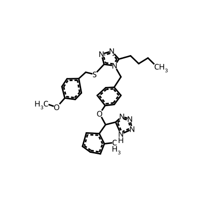 CCCCc1nnc(SCc2ccc(OC)cc2)n1Cc1ccc(OC(c2nnn[nH]2)c2ccccc2C)cc1